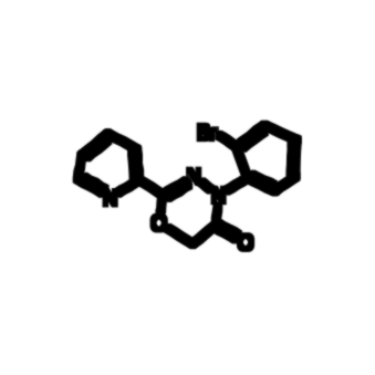 O=C1COC(c2ccccn2)=NN1c1ccccc1Br